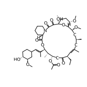 CC[C@@H]1/C=C(\C)C[C@H](C)C[C@H](OC)[C@H]2O[C@@](O)(C(=O)C(=O)N3CCCC[C@H]3C(=O)O[C@H](/C(C)=C/C3CC[C@@H](O)[C@H](OC)C3)[C@@H](C)[C@@H](OC(C)=O)CC1=O)[C@H](C)C[C@@H]2OC